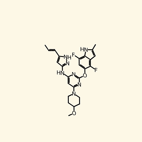 C/C=C/c1cc(Nc2cc(N3CCC(OC)CC3)nc(Oc3cc(F)c4[nH]c(C)cc4c3F)n2)n[nH]1